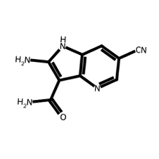 N#Cc1cnc2c(C(N)=O)c(N)[nH]c2c1